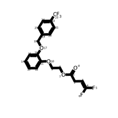 O=C(CC=C(F)F)OCCOc1ccccc1OCc1ccc(C(F)(F)F)cc1